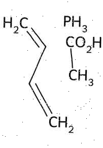 C=CC=C.CC(=O)O.P